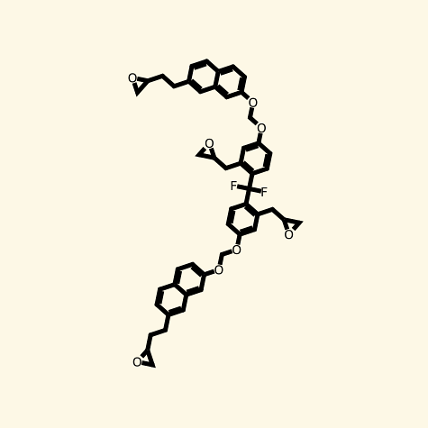 FC(F)(c1ccc(OCOc2ccc3ccc(CCC4CO4)cc3c2)cc1CC1CO1)c1ccc(OCOc2ccc3ccc(CCC4CO4)cc3c2)cc1CC1CO1